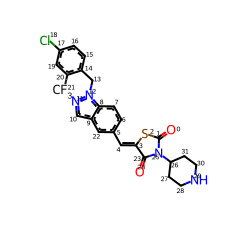 O=C1S/C(=C\c2ccc3c(cnn3Cc3ccc(Cl)cc3C(F)(F)F)c2)C(=O)N1C1CCNCC1